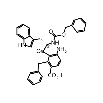 Nc1ccc(C(=O)O)c(Cc2ccccc2)c1C(=O)[C@H](Cc1c[nH]c2ccccc12)NC(=O)OCc1ccccc1